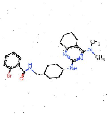 CN(C)c1nc(N[C@H]2CC[C@@H](CNC(=O)c3ccccc3Br)CC2)nc2c1CCCC2